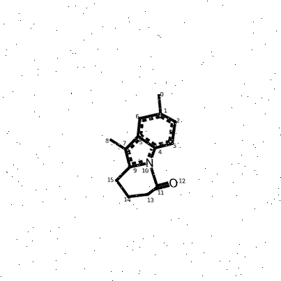 Cc1ccc2c(c1)c(C)c1n2C(=O)CCC1